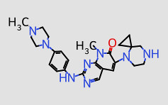 CN1CCN(c2ccc(Nc3ncc4cc(N5CCNCC56CC6)c(=O)n(C)c4n3)cc2)CC1